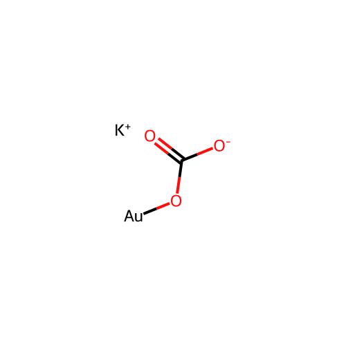 O=C([O-])[O][Au].[K+]